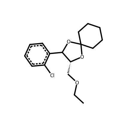 CCOC[C@H]1OC2(CCCCC2)OC1c1ccccc1Cl